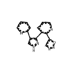 [c]1nnoc1-c1ncccc1-c1n[nH]cc1-c1ccccn1